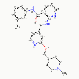 CN1CCC(COc2cc(CNc3ncccc3C(=O)Nc3cccc(C(F)(F)F)c3)ccn2)CC1